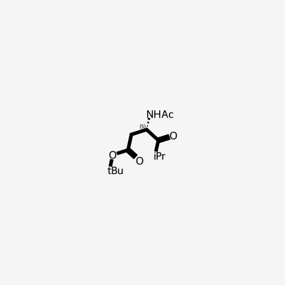 CC(=O)N[C@@H](CC(=O)OC(C)(C)C)C(=O)C(C)C